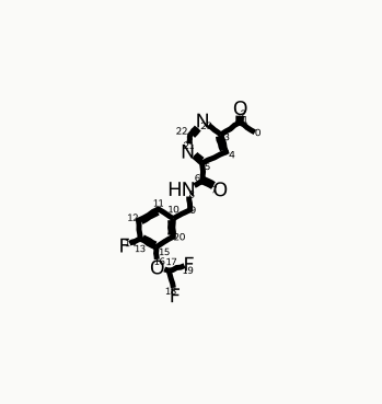 CC(=O)c1cc(C(=O)NCc2ccc(F)c(OC(F)F)c2)ncn1